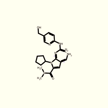 C=C(/N=C1\C(=C/N)C=C(C(=O)N(C)C)N1C1CCCC1)Nc1ccc(CO)cn1